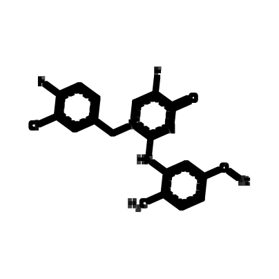 CCOc1ccc(C)c(Nc2nc(=O)c(F)cn2Cc2ccc(F)c(Cl)c2)c1